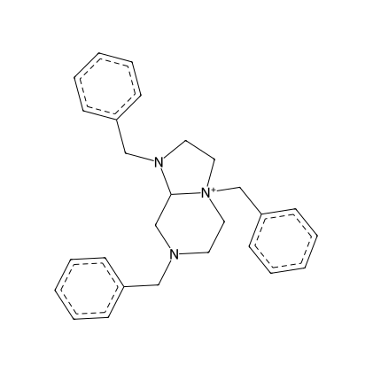 c1ccc(CN2CC[N+]3(Cc4ccccc4)CCN(Cc4ccccc4)C3C2)cc1